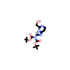 CC(C)(C)OC(=O)N(C(=O)OC(C)(C)C)c1nc2ccnc(CO)n2n1